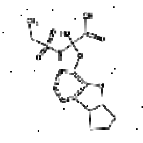 CCS(=O)(=O)NC(O)(Oc1cccc2c1OC1CCCC21)C(=O)O